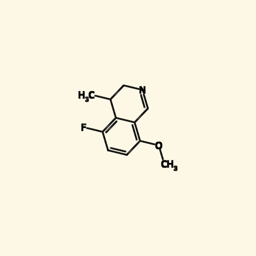 COc1ccc(F)c2c1C=NCC2C